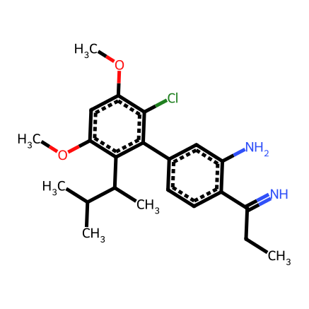 CCC(=N)c1ccc(-c2c(Cl)c(OC)cc(OC)c2C(C)C(C)C)cc1N